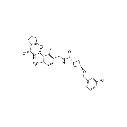 O=c1[nH]c(-c2c(C(F)(F)F)ccc(CNC(=O)[C@H]3C[C@H](OCc4cccc(Cl)c4)C3)c2F)nc2c1CCC2